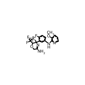 COc1cccnc1Nc1ccc(F)c(C2(C)N=C(N)COC2C(F)(F)F)c1